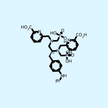 CC(C)Nc1ccc(C[C@@H](CN(Cc2cccc(C(=O)O)n2)CP(=O)(O)O)N(Cc2cccc(C(=O)O)n2)CP(=O)(O)O)cc1